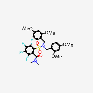 COc1ccc(CN(Cc2ccc(OC)cc2OC)S(=O)(=O)c2c(F)c(F)c(F)c(F)c2C(=O)N(C)C)c(OC)c1